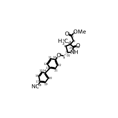 COC(=O)C[C@]1(C)C[C@@H](COc2ccc(-c3ccc(C#N)cc3)cc2)NC1=O